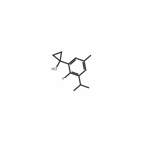 Cc1cc(C(C)C)c(F)c(C2(O)CC2)c1